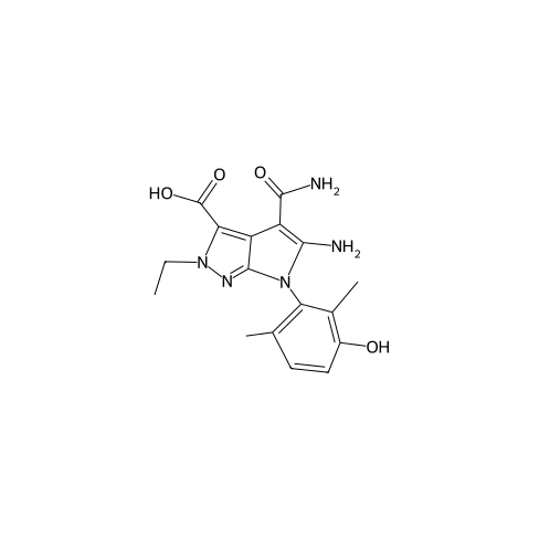 CCn1nc2c(c(C(N)=O)c(N)n2-c2c(C)ccc(O)c2C)c1C(=O)O